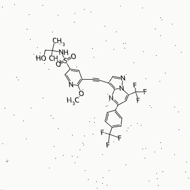 COc1ncc(S(=O)(=O)NC(C)(C)CO)cc1C#Cc1cnn2c(C(F)(F)F)cc(-c3ccc(C(F)(F)F)cc3)nc12